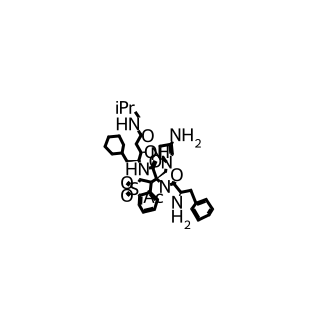 CC(=O)N(C(=O)[C@@H](N)Cc1ccccc1)[C@@](Cn1cc(N)cn1)(C(=O)N[C@@H](CC1CCCCC1)[C@@H](O)CC(=O)NCC(C)C)C1CS(=O)(=O)c2ccccc21